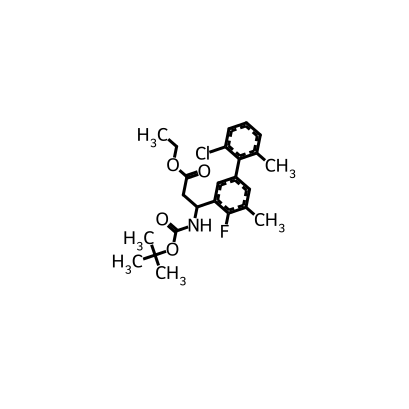 CCOC(=O)CC(NC(=O)OC(C)(C)C)c1cc(-c2c(C)cccc2Cl)cc(C)c1F